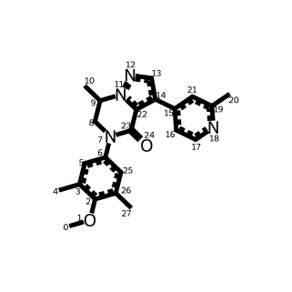 COc1c(C)cc(N2CC(C)n3ncc(-c4ccnc(C)c4)c3C2=O)cc1C